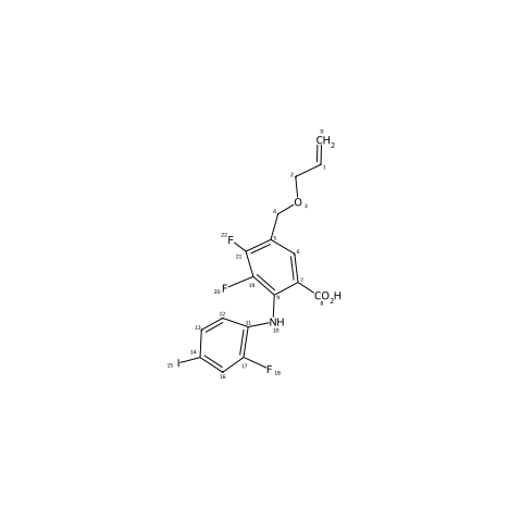 C=CCOCc1cc(C(=O)O)c(Nc2ccc(I)cc2F)c(F)c1F